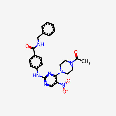 CC(=O)N1CCN(c2nc(Nc3ccc(C(=O)NCc4ccccc4)cc3)ncc2[N+](=O)[O-])CC1